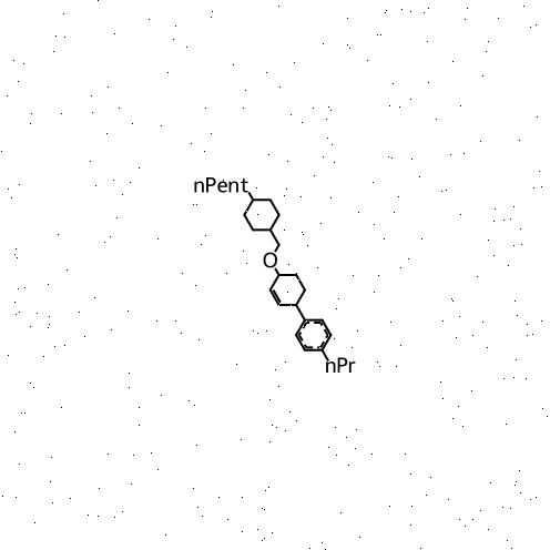 CCCCCC1CCC(COC2C=CC(c3ccc(CCC)cc3)CC2)CC1